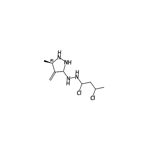 C=C1C(NNC(Cl)CC(C)Cl)NN[C@@H]1C